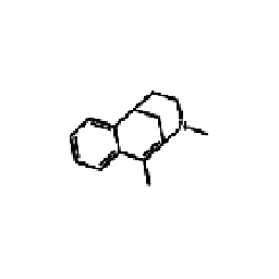 CC1=C2CC(CCN2C)c2ccccc21